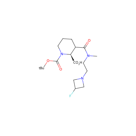 CN(CCN1CC(F)C1)C(=O)C1CCCN(C(=O)OC(C)(C)C)[C@@H]1C(=O)O